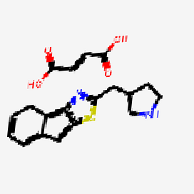 C1=CCC2=c3nc(CC4CCNC4)sc3=CC2=C1.O=C(O)C=CC(=O)O